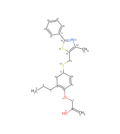 C=C(O)COC1=C(CCC)CC(SCc2sc(-c3ccccc3)nc2C)C=C1